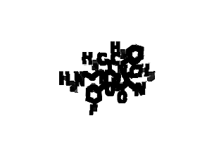 Cc1c(C#N)c(=O)nc(C(C(C)C)N(CCCN)C(=O)c2cccc(F)c2)n1Cc1ccccc1